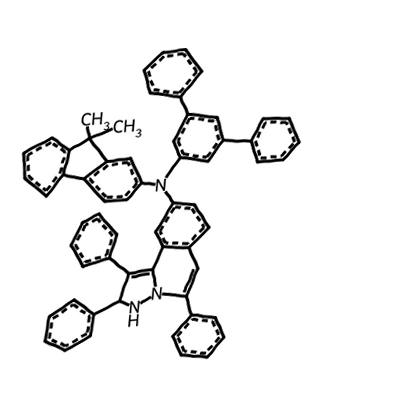 CC1(C)c2ccccc2-c2ccc(N(c3cc(-c4ccccc4)cc(-c4ccccc4)c3)c3ccc4c(c3)C3=C(c5ccccc5)C(c5ccccc5)NN3C(c3ccccc3)=C4)cc21